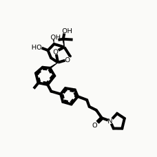 Cc1ccc([C@]23CC(O)[C@H](O)[C@](C(C)(C)O)(CO2)O3)cc1Cc1ccc(CCCC(=O)N2CCCC2)cc1